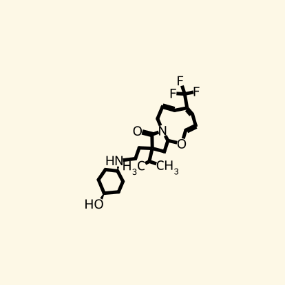 CC(C)C1(CCN[C@H]2CC[C@H](O)CC2)CC2O/C=C/C=C(C(F)(F)F)\C=C\CN2C1=O